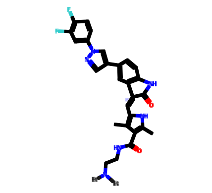 CCN(CC)CCNC(=O)c1c(C)[nH]c(/C=C2\C(=O)Nc3ccc(-c4cnn(-c5ccc(F)c(F)c5)c4)cc32)c1C